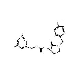 COc1ccc(CN2CC[C@@](O)(OC(=O)NCc3cc(F)cc(Cl)c3)C2=O)cc1